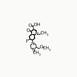 CCn1cc(C(=O)O)c(=O)c2cc(F)c(N3CCN(C)C(COC)C3)cc21